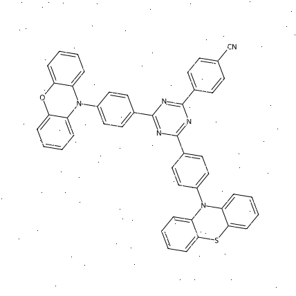 N#Cc1ccc(-c2nc(-c3ccc(N4c5ccccc5Oc5ccccc54)cc3)nc(-c3ccc(N4c5ccccc5Sc5ccccc54)cc3)n2)cc1